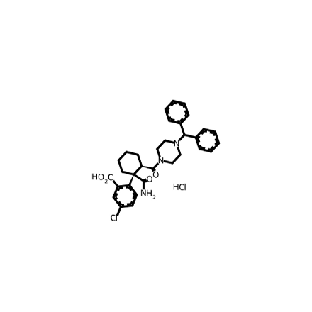 Cl.NC(=O)[C@]1(c2ccc(Cl)cc2C(=O)O)CCCC[C@H]1C(=O)N1CCN(C(c2ccccc2)c2ccccc2)CC1